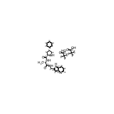 C[C@H](NC(=O)[C@H]1C[C@H](c2ccccc2)CN1)C(=O)NCc1cc2ncccc2[nH]1.O=C(O)C(F)(F)F.O=C(O)C(F)(F)F